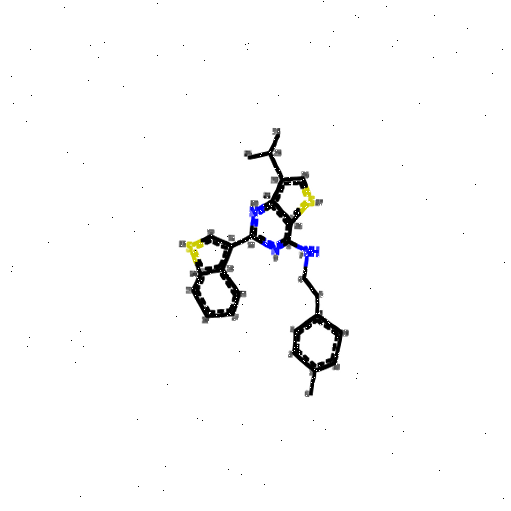 Cc1ccc(CCNc2nc(-c3csc4ccccc34)nc3c(C(C)C)csc23)cc1